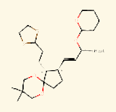 CCCCCCCC(C=C[C@H]1CCC2(OCC(C)(C)CO2)[C@@H]1CCC1SCCS1)OC1CCCCO1